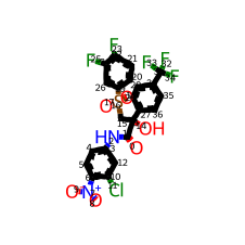 O=C(Nc1ccc([N+](=O)[O-])c(Cl)c1)C(O)(CS(=O)(=O)c1ccc(F)c(F)c1)c1ccc(C(F)(F)F)cc1